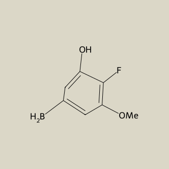 Bc1cc(O)c(F)c(OC)c1